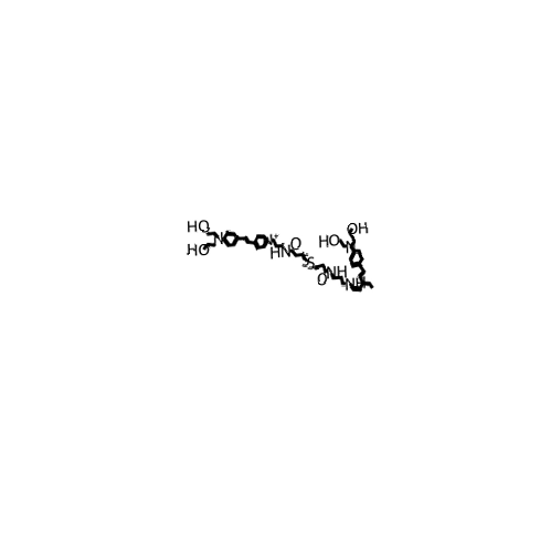 C/C=C(\C=C/NCCCNC(=O)CCSSCCC(=O)NCCC[n+]1ccc(/C=C/c2ccc(N(CCO)CCO)cc2)cc1)/C=C/c1ccc(N(CCO)CCO)cc1